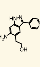 Nc1cc2[nH]nc(-c3ccncc3)c2cc1CCO